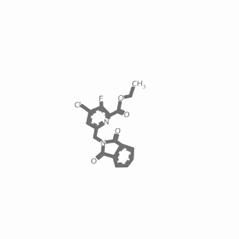 CCOC(=O)c1nc(CN2C(=O)c3ccccc3C2=O)cc(Cl)c1F